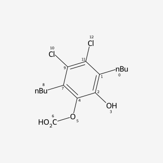 CCCCc1c(O)c(OC(=O)O)c(CCCC)c(Cl)c1Cl